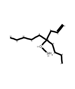 C=CCC(CCCC)(CCCCC)O[SiH3]